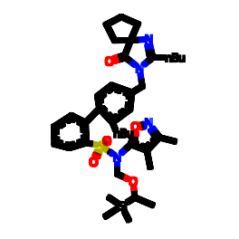 CCCCC1=NC2(CCCC2)C(=O)N1Cc1ccc(-c2ccccc2S(=O)(=O)N(COC(C)[Si](C)(C)C)c2onc(C)c2C)c(CCCC)c1